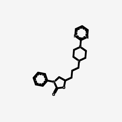 O=C1OC(CCCN2CCN(c3ncccn3)CC2)CN1c1ccccc1